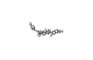 O=C(NCCCN1CCC(F)CC1)c1ccc2c(c1)sc1nc(-c3cc4c(cc3F)CNCC4)cn12